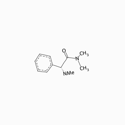 CN[C@@H](C(=O)N(C)C)c1ccccc1